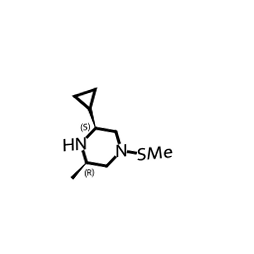 CSN1C[C@@H](C)N[C@@H](C2CC2)C1